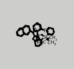 CC(C)(C)[Si](C[C@]1(c2ccccc2F)CC2CC1(C(=O)c1ccc3ccccc3c1)C2)(c1ccccc1)c1ccccc1